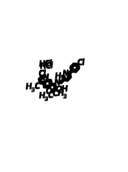 Cc1cc(Cl)nc2cc3c(cc12)OC(C)(C)[C@H](O)[C@H]3NCc1ccc(-c2ccc(Cl)cc2)nc1.Cl.Cl